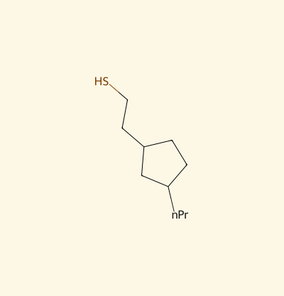 CCCC1CCC(CCS)C1